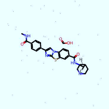 CNC(=O)c1ccc(-c2cn3c(n2)sc2cc(C(=O)N[C@@H]4CN5CCC4CC5)ccc23)cc1.O=CO